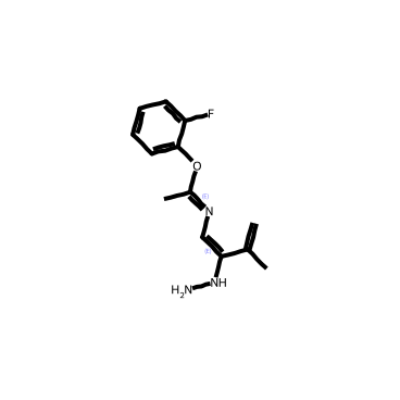 C=C(C)/C(=C\N=C(/C)Oc1ccccc1F)NN